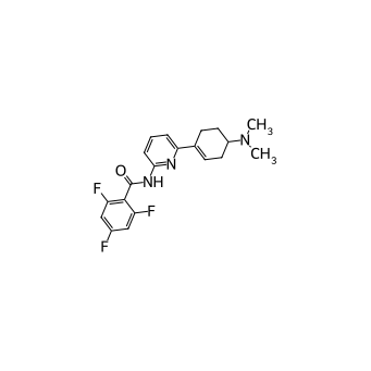 CN(C)C1CC=C(c2cccc(NC(=O)c3c(F)cc(F)cc3F)n2)CC1